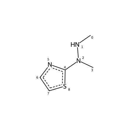 CNN(C)c1nccs1